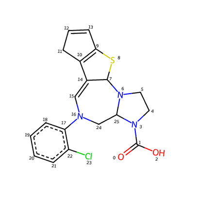 O=C(O)N1CCN2C3SC4=C(CC=C4)C3=CN(c3ccccc3Cl)CC12